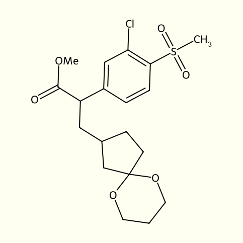 COC(=O)C(CC1CCC2(C1)OCCCO2)c1ccc(S(C)(=O)=O)c(Cl)c1